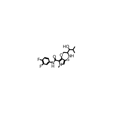 CC(C)C(O)C1COc2c(cn(C)c2C(=O)Nc2ccc(F)c(F)c2)SN1